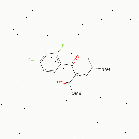 CNC(C)/C=C(/C(=O)OC)C(=O)c1ccc(F)cc1F